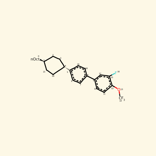 CCCCCCCC[C@H]1CC[C@H](c2ccc(-c3ccc(OC(F)(F)F)c(F)c3)cc2)CC1